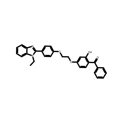 CCn1c(-c2ccc(OCCOc3ccc(C(=O)c4ccccc4)c(O)c3)cc2)nc2ccccc21